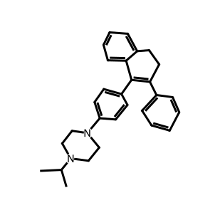 CC(C)N1CCN(c2ccc(C3=C(c4ccccc4)CCc4ccccc43)cc2)CC1